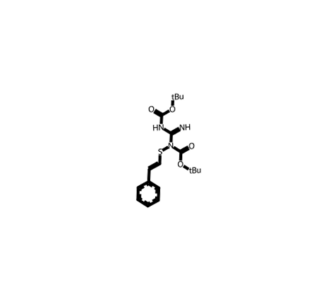 CC(C)(C)OC(=O)NC(=N)N(SC=Cc1ccccc1)C(=O)OC(C)(C)C